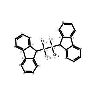 C[Si](C)(C1c2ccccc2-c2ccccc21)[Si](C)(C)C1c2ccccc2-c2ccccc21